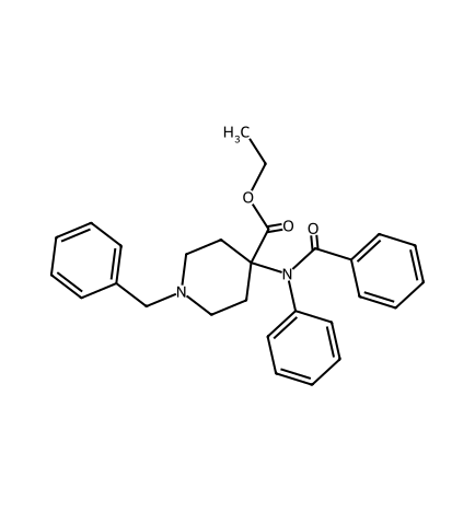 CCOC(=O)C1(N(C(=O)c2ccccc2)c2ccccc2)CCN(Cc2ccccc2)CC1